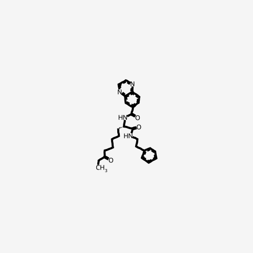 CCC(=O)CCCCC[C@H](NC(=O)c1ccc2nccnc2c1)C(=O)NCCc1ccccc1